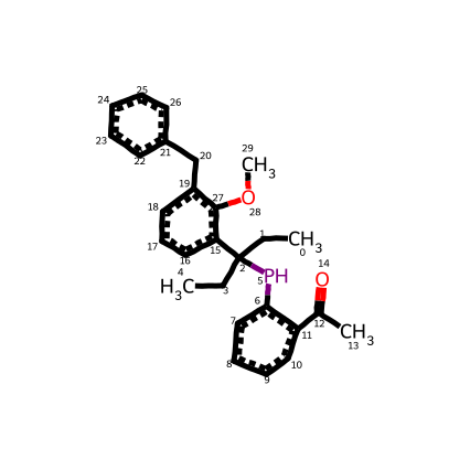 CCC(CC)(Pc1ccccc1C(C)=O)c1cccc(Cc2ccccc2)c1OC